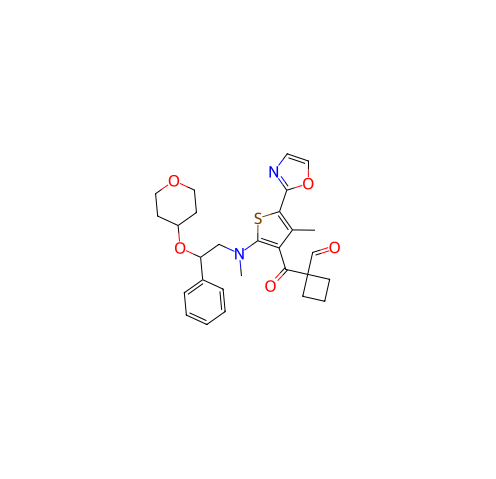 Cc1c(-c2ncco2)sc(N(C)CC(OC2CCOCC2)c2ccccc2)c1C(=O)C1(C=O)CCC1